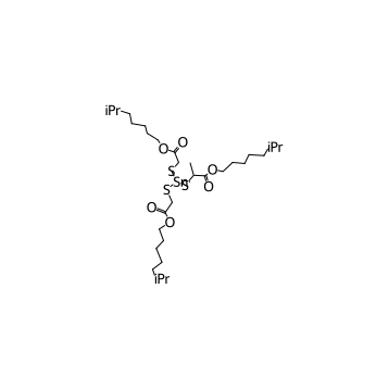 CC(C)CCCCCOC(=O)C[S][Sn]([S]CC(=O)OCCCCCC(C)C)[S]C(C)C(=O)OCCCCCC(C)C